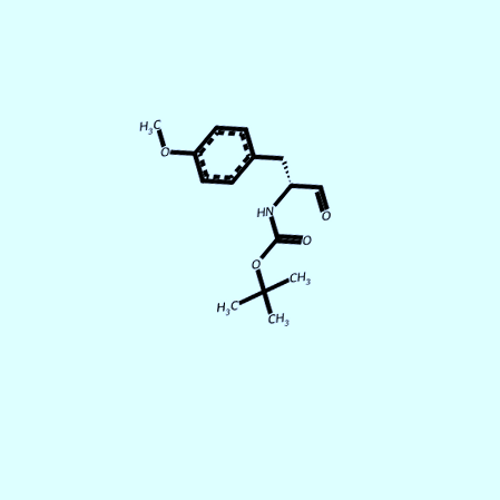 COc1ccc(C[C@H](C=O)NC(=O)OC(C)(C)C)cc1